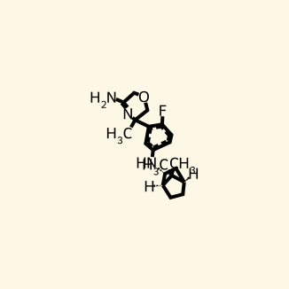 CC1(c2cc(N[C@@H]3C[C@H]4CC[C@@H]3C4(C)C)ccc2F)COCC(N)=N1